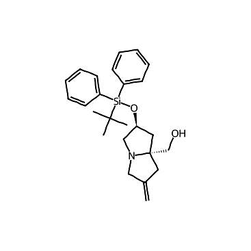 C=C1CN2C[C@@H](O[Si](c3ccccc3)(c3ccccc3)C(C)(C)C)C[C@@]2(CO)C1